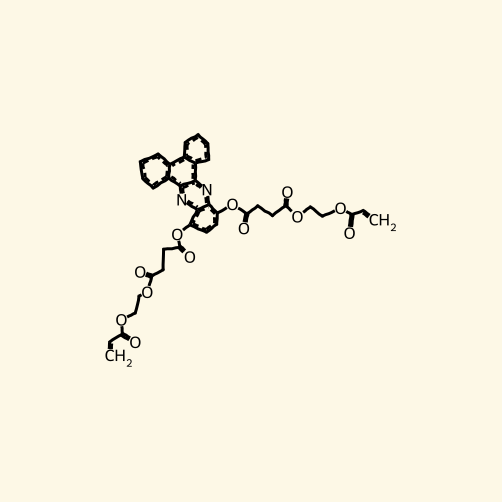 C=CC(=O)OCCOC(=O)CCC(=O)Oc1ccc(OC(=O)CCC(=O)OCCOC(=O)C=C)c2nc3c4ccccc4c4ccccc4c3nc12